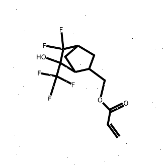 C=CC(=O)OCC1CC2CC1C(O)(C(F)(F)F)C2(F)F